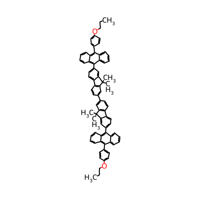 CCCOc1ccc(-c2c3ccccc3c(-c3ccc4c(c3)C(C)(C)c3cc(-c5ccc6c(c5)C(C)(C)c5cc(-c7c8ccccc8c(-c8ccc(OCCC)cc8)c8ccccc78)ccc5-6)ccc3-4)c3ccccc23)cc1